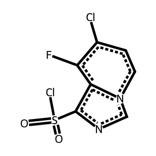 O=S(=O)(Cl)c1ncn2ccc(Cl)c(F)c12